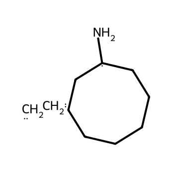 N[C]1CCCCCCC1.[CH2].[CH2]